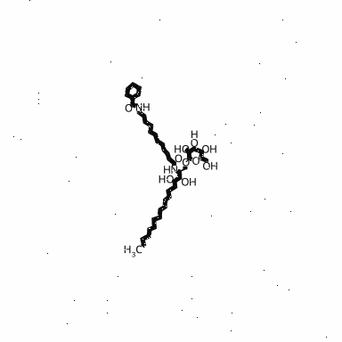 CCCCCCCCCCCCCC[C@@H](O)[C@@H](O)[C@H](CO[C@H]1OC(CO)[C@H](O)[C@H](O)C1O)NC(=O)CCCCCCCCCCCNC(=O)C1CCCCC1